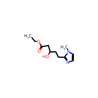 CCOC(=O)CC(O)CCc1nccn1C